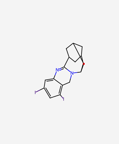 Ic1cc(I)c2c(c1)N=C1C3CC4CC(C3)CC(C4)N1C2